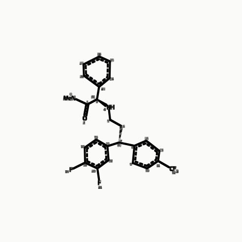 CNC(=O)[C@H](NCC[C@H](c1ccc(C(F)(F)F)cc1)c1ccc(F)c(F)c1)c1ccccc1